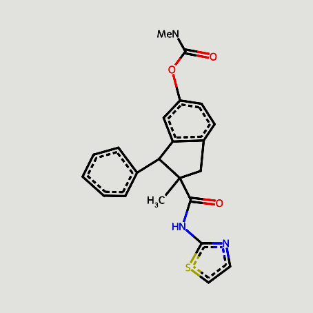 CNC(=O)Oc1ccc2c(c1)C(c1ccccc1)C(C)(C(=O)Nc1nccs1)C2